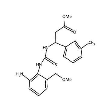 COCc1cccc(N)c1NC(=S)NC(CC(=O)OC)c1cccc(C(F)(F)F)c1